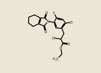 CCOC(=O)C(Cl)Cc1cc(N2C(=O)C3=C(CCCC3)C2=O)c(F)cc1Cl